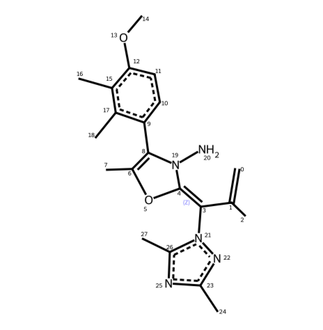 C=C(C)/C(=C1/OC(C)=C(c2ccc(OC)c(C)c2C)N1N)n1nc(C)nc1C